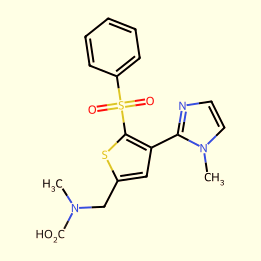 CN(Cc1cc(-c2nccn2C)c(S(=O)(=O)c2ccccc2)s1)C(=O)O